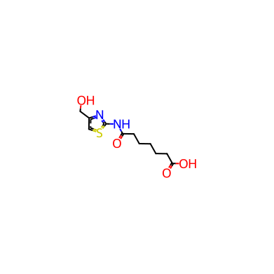 O=C(O)CCCCCC(=O)Nc1nc(CO)cs1